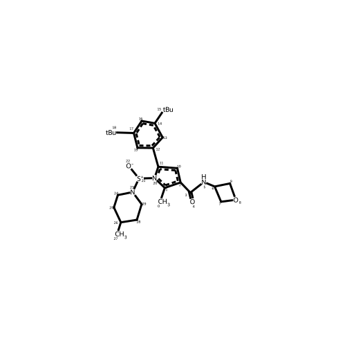 Cc1c(C(=O)NC2COC2)cc(-c2cc(C(C)(C)C)cc(C(C)(C)C)c2)n1[S+]([O-])N1CCC(C)CC1